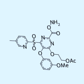 COc1cccc(Oc2c(OCCOC(C)=O)nc(C(=O)ON)nc2S(=O)(=O)c2ccc(C)cn2)c1